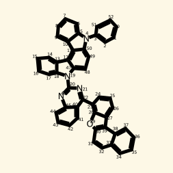 c1ccc(-n2c3ccccc3c3c4c5ccccc5n(-c5nc(-c6cccc7c6oc6ccc8ccccc8c67)c6ccccc6n5)c4ccc32)cc1